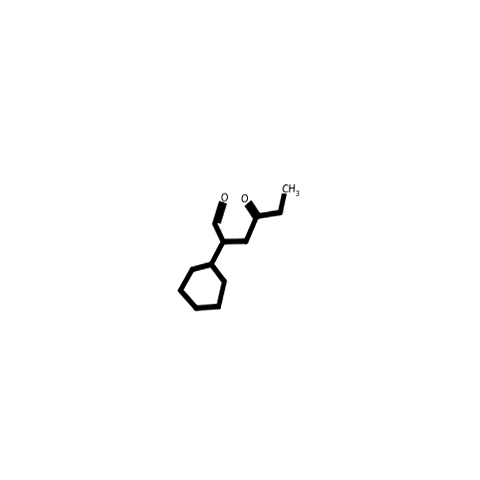 CCC(=O)CC(C=O)C1CCCCC1